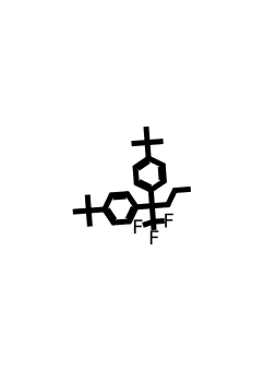 CCCC(c1ccc(C(C)(C)C)cc1)(c1ccc(C(C)(C)C)cc1)C(F)(F)F